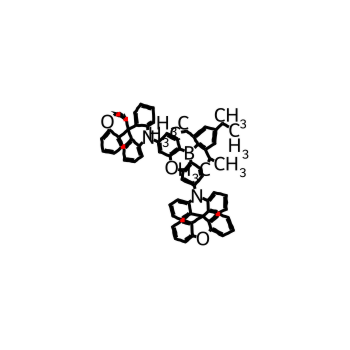 CC(C)c1cc(C(C)C)c(B2c3ccc(N4c5ccccc5C5(c6ccccc6Oc6ccccc65)c5ccccc54)cc3Oc3cc(N4c5ccccc5C5(c6ccccc6Oc6ccccc65)c5ccccc54)ccc32)c(C(C)C)c1